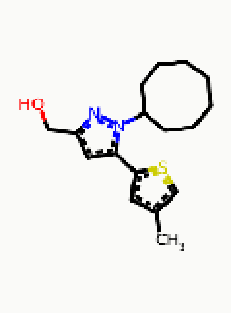 Cc1csc(-c2cc(CO)nn2C2CCCCCCC2)c1